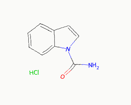 Cl.NC(=O)n1ccc2ccccc21